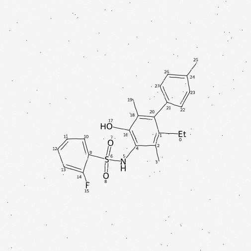 CCc1c(C)c(NS(=O)(=O)c2ccccc2F)c(O)c(C)c1-c1ccc(C)cc1